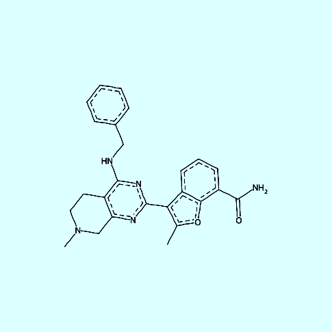 Cc1oc2c(C(N)=O)cccc2c1-c1nc2c(c(NCc3ccccc3)n1)CCN(C)C2